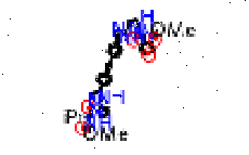 COC(=O)N[C@H](C(=O)N1CCC[C@H]1c1ncc(-c2ccc(C#Cc3ccc(-c4cnc([C@@H]5CCCN5C(=O)[C@@H](NC(=O)OC)C5CCOCC5)[nH]4)cc3)cc2)[nH]1)C(C)C